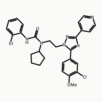 CCc1ccccc1NC(=O)N(CCn1nc(-c2ccncc2)nc1-c1ccc(OC)c(Cl)c1)C1CCCC1